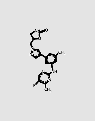 Cc1cc(Nc2ncc(F)c(C)n2)cc(-c2cnn(CC3CNC(=O)O3)c2)c1